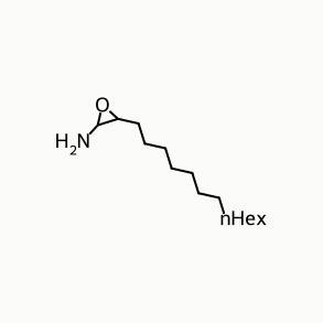 CCCCCCCCCCCCCC1OC1N